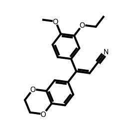 CCOc1cc(C(=CC#N)c2ccc3c(c2)OCCO3)ccc1OC